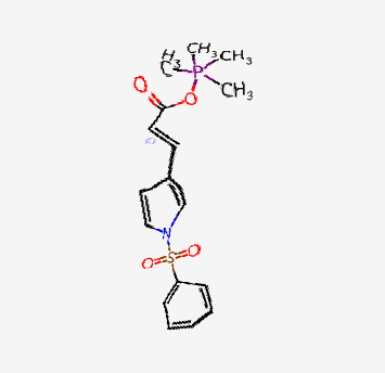 CP(C)(C)(C)OC(=O)/C=C/c1ccn(S(=O)(=O)c2ccccc2)c1